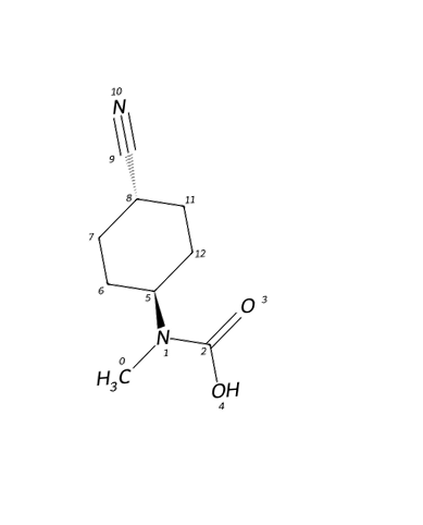 CN(C(=O)O)[C@H]1CC[C@H](C#N)CC1